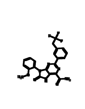 COc1ccccc1-n1c(=O)[nH]c2c(C(N)=O)nc(-c3cccc(CC(F)(F)F)c3)nc21